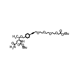 C[C@@H](OCc1ccc(C#CCOCCOCCOCCOCC(=O)OC(C)(C)C)cc1)[C@H](CCC(N)=O)NC(=O)OC(C)(C)C